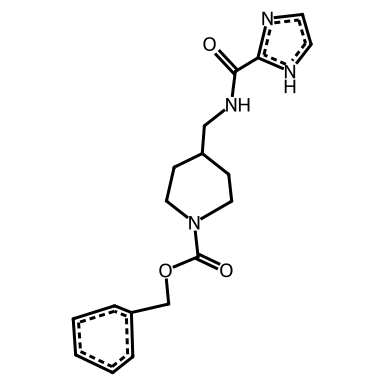 O=C(NCC1CCN(C(=O)OCc2ccccc2)CC1)c1ncc[nH]1